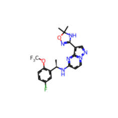 C[C@@H](Nc1ccn2ncc(C3=NOC(C)(C)N3)c2n1)c1cc(F)ccc1OC(F)(F)F